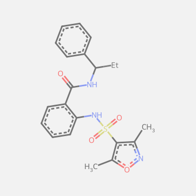 CCC(NC(=O)c1ccccc1NS(=O)(=O)c1c(C)noc1C)c1ccccc1